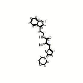 N#C/C(=C\c1ccc(N2CCOCC2)o1)C(=O)NCCc1c[nH]c2ccccc12